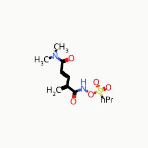 C=C(C=CC(=O)N(C)C)C(=O)NOS(=O)(=O)CCC